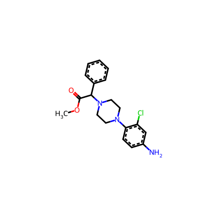 COC(=O)C(c1ccccc1)N1CCN(c2ccc(N)cc2Cl)CC1